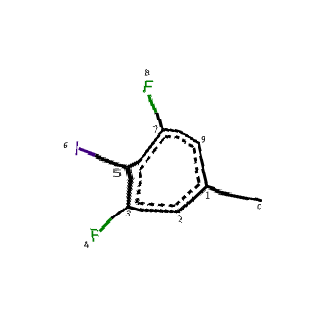 Cc1cc(F)c(I)c(F)c1